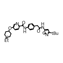 CCN1CCC(Oc2ccc(C(=O)Nc3ccc(CC(=O)Nc4cc(C(C)(C)C)no4)cc3)nc2)CC1